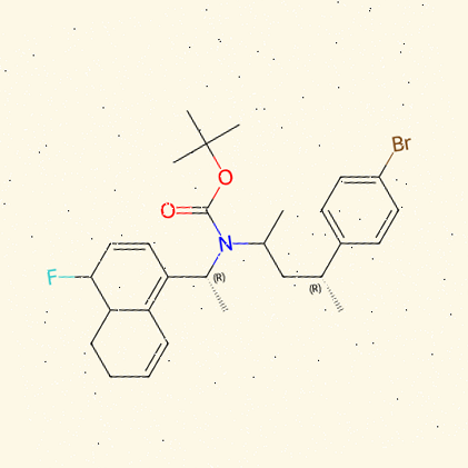 CC(C[C@@H](C)c1ccc(Br)cc1)N(C(=O)OC(C)(C)C)[C@H](C)C1=C2C=CCCC2C(F)C=C1